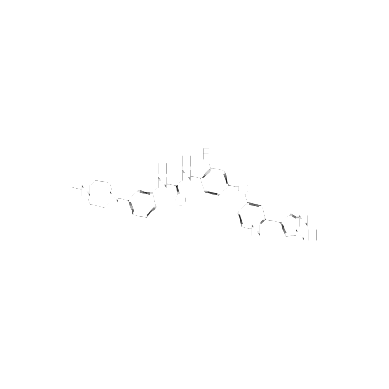 CN1CCN(c2cccc(NC(=O)Nc3ccc(Oc4ccnc(-c5cn[nH]c5)c4)cc3F)c2)CC1